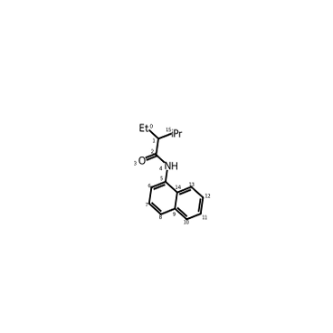 CCC(C(=O)Nc1cccc2ccccc12)C(C)C